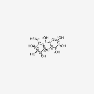 OCC1O[C@@H](O)C(O)C(O)[C@H]1O[C@@H]1OC(CS)[C@H](O)C(O)C1O